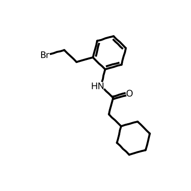 O=C(CC1CCCCC1)Nc1ccccc1CCBr